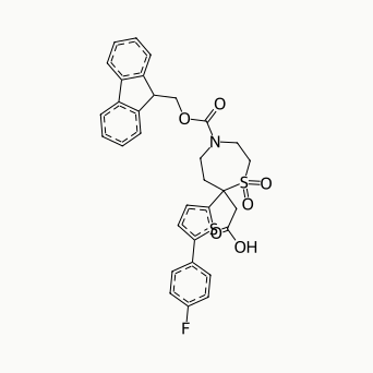 O=C(O)CC1(c2ccc(-c3ccc(F)cc3)s2)CCN(C(=O)OCC2c3ccccc3-c3ccccc32)CCS1(=O)=O